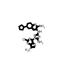 Cc1csc2c(-n3nc(Nc4cc5c(nc4N)CCC(C4CCCC4)C5)nc3N)nc(Cl)nc12